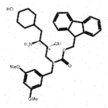 COc1cc(CN(C[C@@H](O)[C@@H](N)CC2CCCCC2)C(=O)OCC2c3ccccc3-c3ccccc32)cc(OC)c1.Cl